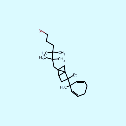 CCC1(C2(C)C=CCCC=C2)CC2C3(CC(C)(C)C(C)(C)CCCBr)CC231